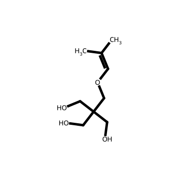 CC(C)=COCC(CO)(CO)CO